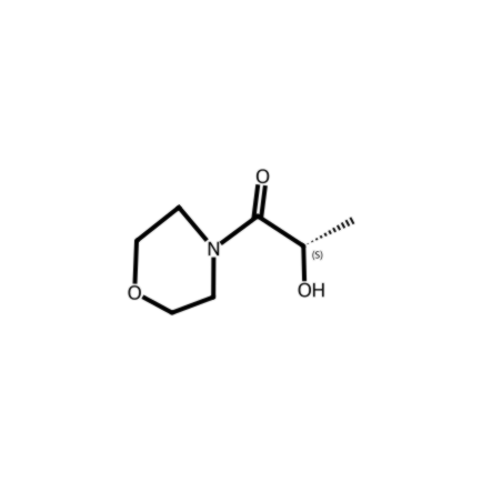 C[C@H](O)C(=O)N1CCOCC1